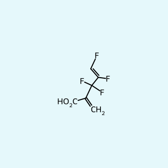 C=C(C(=O)O)C(F)(F)C(F)=CF